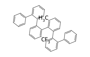 Cc1cccc(-c2ccccc2-c2ccccc2)c1-c1c(-c2ccccc2-c2ccccc2)cccc1C(F)(F)F